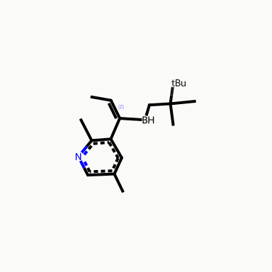 C/C=C(/BCC(C)(C)C(C)(C)C)c1cc(C)cnc1C